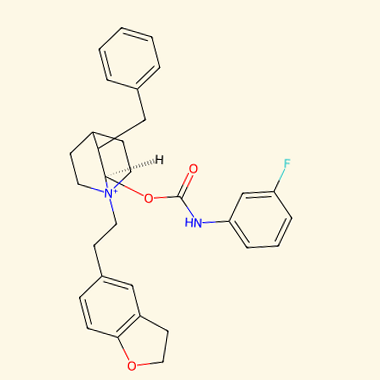 O=C(Nc1cccc(F)c1)O[C@@H]1C(Cc2ccccc2)C2CC[N+]1(CCc1ccc3c(c1)CCO3)CC2